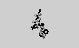 C=CCNC(=O)C(=O)CNC(=O)[C@@H]1C2C(CN1C(=O)[C@@H](NC(=O)NC1([C@@H]3OCCS3(=O)=O)CCCCC1)C(C)(C)C)C2(C)C